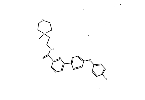 C[N+]1(CCNC(=O)c2cccc(-c3ccc(Oc4ccc(F)cc4)cc3)n2)CCOCC1